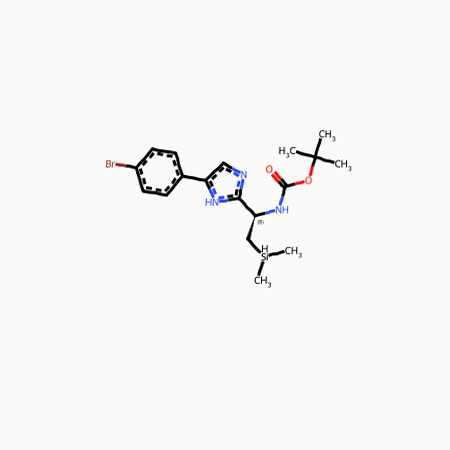 C[SiH](C)C[C@H](NC(=O)OC(C)(C)C)c1ncc(-c2ccc(Br)cc2)[nH]1